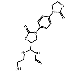 O=C1OCCN1c1ccc(N2C[C@@H](C(NC=S)NCCO)OC2=O)cc1